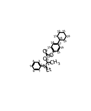 CCN(c1ccccc1)C(C)OC(=O)Oc1ccc(C2CCCCC2)cc1